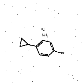 Brc1ccc(C2CC2)cc1.Cl.N